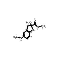 COC(=O)C1(C)Cc2cc(OC)ccc2O1